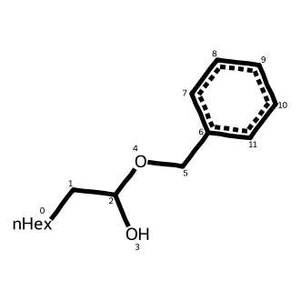 CCCCCCCC(O)OCc1ccccc1